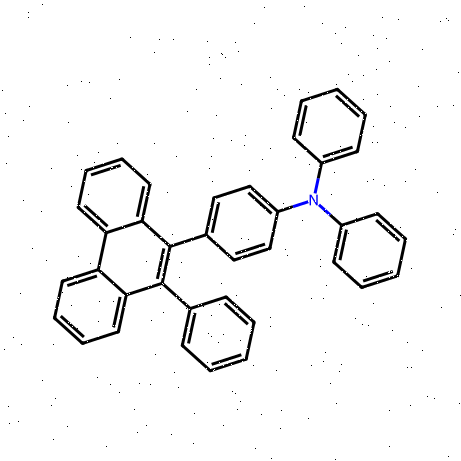 c1ccc(-c2c(-c3ccc(N(c4ccccc4)c4ccccc4)cc3)c3ccccc3c3ccccc23)cc1